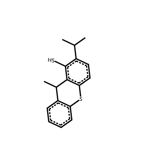 CC(C)c1ccc2c(c1S)C(C)c1ccccc1S2